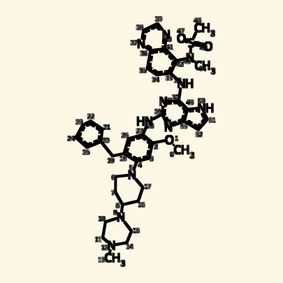 COc1cc(N2CCC(N3CCN(C)CC3)CC2)c(Cc2ccccc2)cc1Nc1nc(Nc2ccc3nccnc3c2N(C)S(C)(=O)=O)c2[nH]ccc2n1